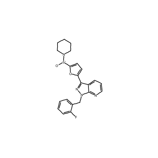 [O-][S+](c1ccc(-c2nn(Cc3ccccc3F)c3ncccc23)o1)N1CCCCC1